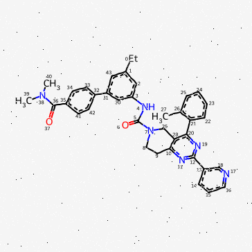 CCc1cc(NC(=O)N2CCc3nc(-c4cccnc4)nc(-c4ccccc4C)c3C2)cc(-c2ccc(C(=O)N(C)C)cc2)c1